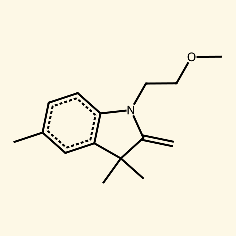 C=C1N(CCOC)c2ccc(C)cc2C1(C)C